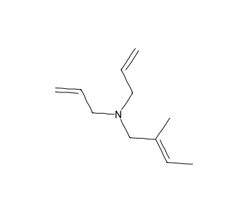 C=CCN(CC=C)C/C(C)=C/C